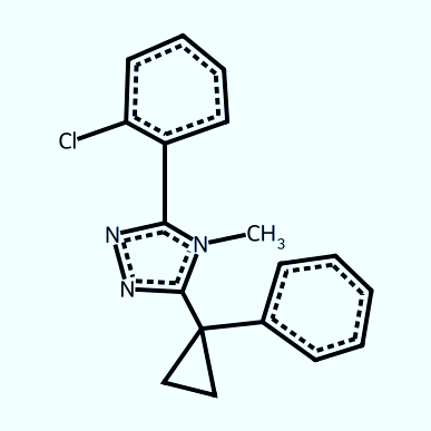 Cn1c(-c2ccccc2Cl)nnc1C1(c2ccccc2)CC1